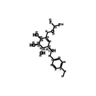 CCc1ccc(CN[C@@H]2C=C(COC(F)F)[C@H](O)[C@H](O)[C@H]2O)cc1